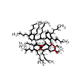 CCCCCC(P(c1ccc(CCCC)c(CCCC)c1CCCC)c1ccc(CCCC)c(CCCC)c1CCCC)P(c1ccc(CCCC)c(CCCC)c1CCCC)c1ccc(CCCC)c(CCCC)c1CCCC